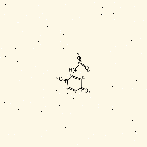 O=C1C=CC(=O)C(N[SH](=O)=O)=C1